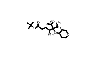 CC(C)(C)OC(=O)CCC(N)C(OC1CCOCC1)(C(=O)O)C(=O)O